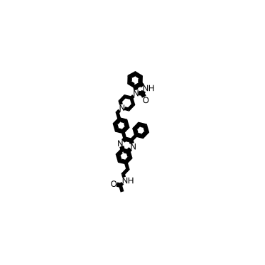 CC(=O)NCCc1ccc2nc(-c3ccc(CN4CCC(n5c(=O)[nH]c6ccccc65)CC4)cc3)c(-c3ccccc3)nc2c1